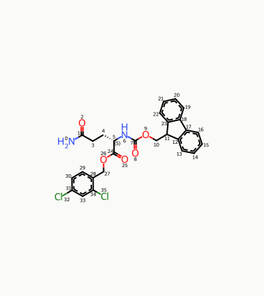 NC(=O)CC[C@H](NC(=O)OCC1c2ccccc2-c2ccccc21)C(=O)OCc1ccc(Cl)cc1Cl